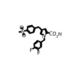 CS(=O)(=O)c1ccc(Cc2cc(C(=O)O)n(Cc3ccc(F)c(F)c3)c2)cc1